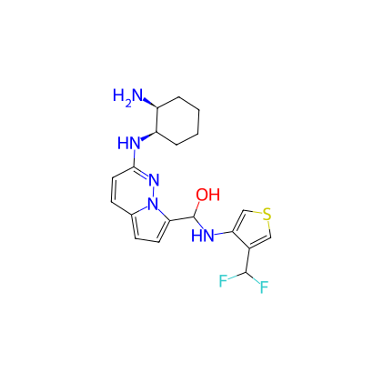 N[C@H]1CCCC[C@H]1Nc1ccc2ccc(C(O)Nc3cscc3C(F)F)n2n1